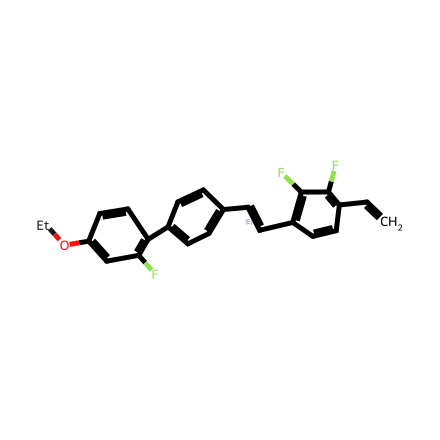 C=Cc1ccc(/C=C/c2ccc(-c3ccc(OCC)cc3F)cc2)c(F)c1F